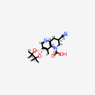 Cc1c(B2OC(C)(C)C(C)(C)O2)cnc2c1N(C(=O)O)CC(C#N)C2